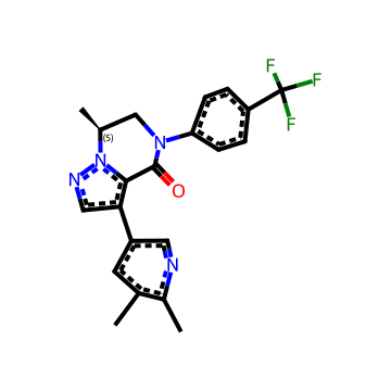 Cc1cc(-c2cnn3c2C(=O)N(c2ccc(C(F)(F)F)cc2)C[C@@H]3C)cnc1C